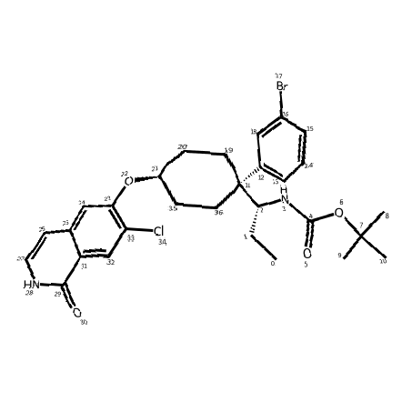 CC[C@@H](NC(=O)OC(C)(C)C)[C@]1(c2cccc(Br)c2)CC[C@H](Oc2cc3cc[nH]c(=O)c3cc2Cl)CC1